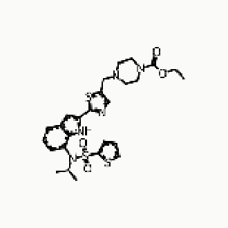 CCOC(=O)N1CCN(Cc2cnc(-c3cc4cccc(N(C(C)C)S(=O)(=O)c5cccs5)c4[nH]3)s2)CC1